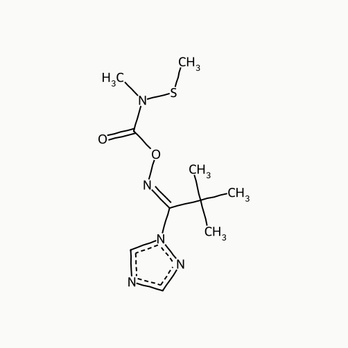 CSN(C)C(=O)ON=C(n1cncn1)C(C)(C)C